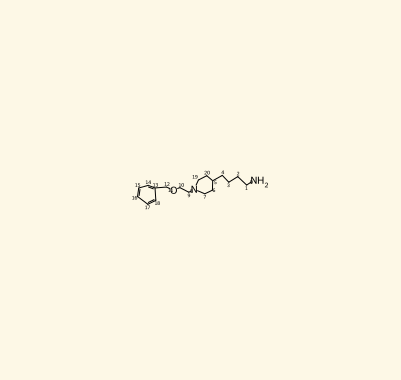 NCCCCC1CCN(CCOCc2ccccc2)CC1